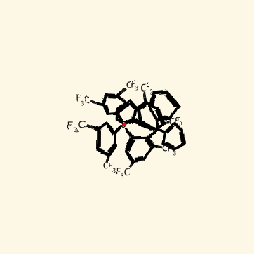 FC(F)(F)c1cc([B-](c2cc(C(F)(F)F)cc(C(F)(F)F)c2)(c2cc(C(F)(F)F)cc(C(F)(F)F)c2)c2cc(C(F)(F)F)cc(C(F)(F)F)c2C(c2ccccc2)(c2ccccc2)c2ccccc2)cc(C(F)(F)F)c1